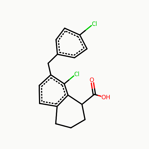 O=C(O)C1CCCc2ccc(Cc3ccc(Cl)cc3)c(Cl)c21